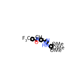 COc1cc(Nc2cncc(-c3ccc(N(C)C(=O)c4ccc(C(F)(F)F)cc4)cc3)n2)cc(OC)c1OC